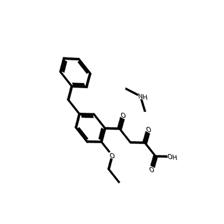 CCOc1ccc(Cc2ccccc2)cc1C(=O)CC(=O)C(=O)O.CNC